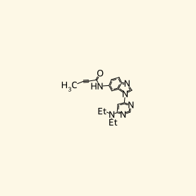 CC#CC(=O)Nc1ccc2ncn(-c3cc(N(CC)CC)ncn3)c2c1